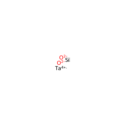 [O-2].[O-2].[Si].[Ta+4]